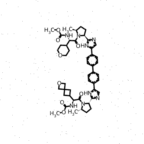 COC(=O)N[C@H](C(=O)N1[C@@H](C)CC[C@H]1c1ncc(-c2ccc(-c3ccc(-c4cnc([C@@H]5CC[C@H](C)N5C(=O)[C@@H](NC(=O)OC)C5CC6(COC6)C5)[nH]4)cc3)cc2)[nH]1)C1CCOCC1